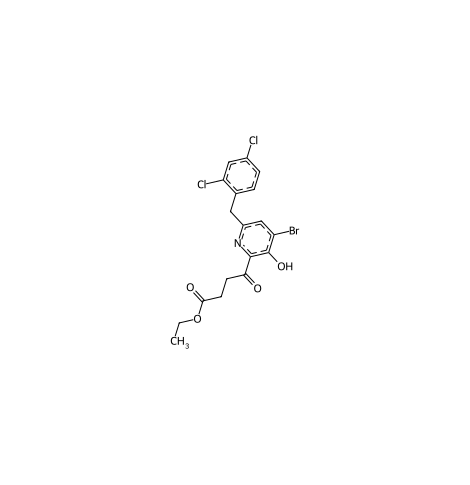 CCOC(=O)CCC(=O)c1nc(Cc2ccc(Cl)cc2Cl)cc(Br)c1O